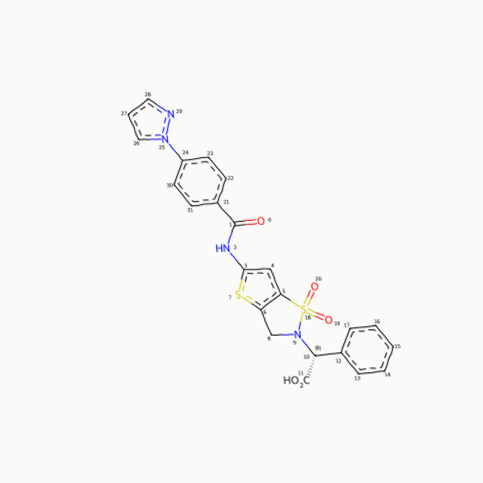 O=C(Nc1cc2c(s1)CN([C@@H](C(=O)O)c1ccccc1)S2(=O)=O)c1ccc(-n2cccn2)cc1